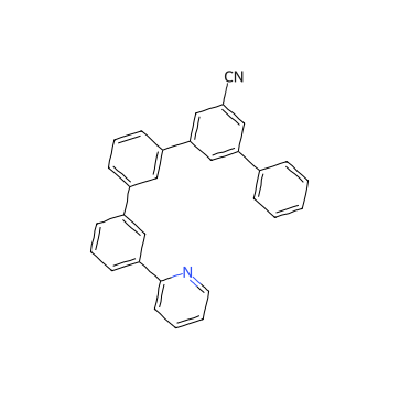 N#Cc1cc(-c2ccccc2)cc(-c2cccc(-c3cccc(-c4ccccn4)c3)c2)c1